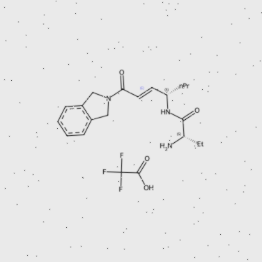 CCC[C@@H](/C=C/C(=O)N1Cc2ccccc2C1)NC(=O)[C@@H](N)CC.O=C(O)C(F)(F)F